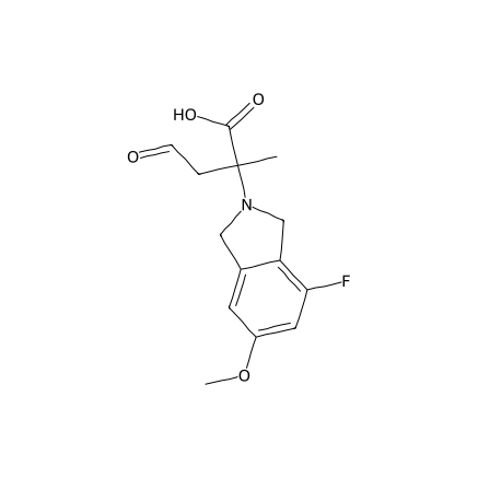 COc1cc(F)c2c(c1)CN(C(C)(CC=O)C(=O)O)C2